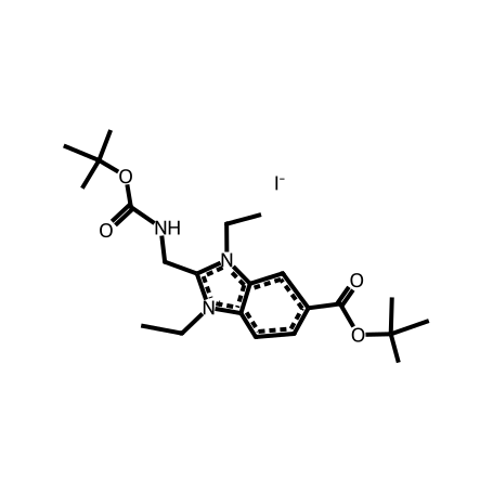 CCn1c(CNC(=O)OC(C)(C)C)[n+](CC)c2ccc(C(=O)OC(C)(C)C)cc21.[I-]